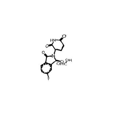 O=C1CCC(N2C(=O)c3ccc(F)cc3C2=O)C(=O)N1.O=CO